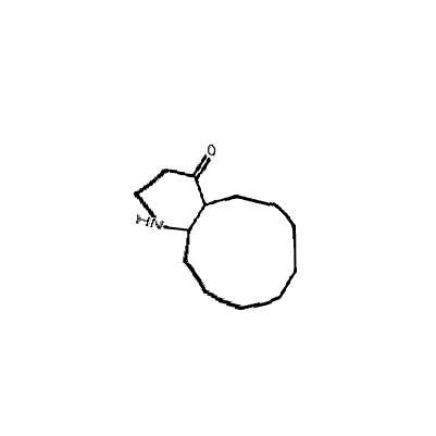 O=C1CCNC2CCCCCCCCC12